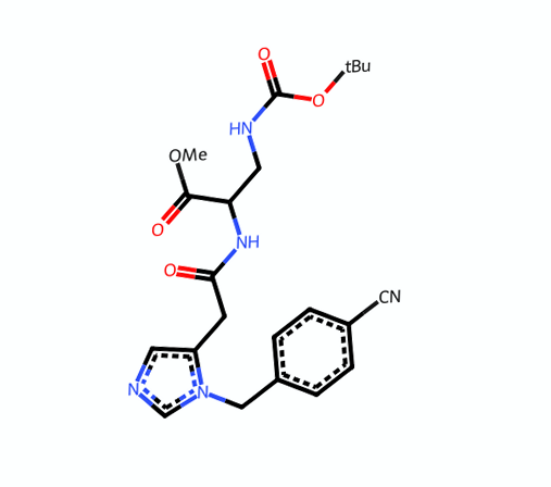 COC(=O)C(CNC(=O)OC(C)(C)C)NC(=O)Cc1cncn1Cc1ccc(C#N)cc1